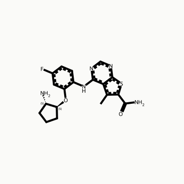 Cc1c(C(N)=O)sc2ncnc(Nc3ccc(F)cc3O[C@H]3CCC[C@@H]3N)c12